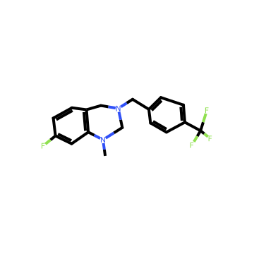 CN1CN(Cc2ccc(C(F)(F)F)cc2)Cc2ccc(F)cc21